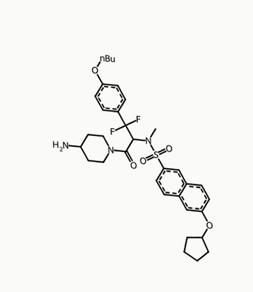 CCCCOc1ccc(C(F)(F)C(C(=O)N2CCC(N)CC2)N(C)S(=O)(=O)c2ccc3cc(OC4CCCC4)ccc3c2)cc1